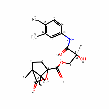 CC12CCC(C(=O)OC[C@](C)(O)C(=O)Nc3ccc(C#N)c(C(F)(F)F)c3)(OC1=O)C2(C)C